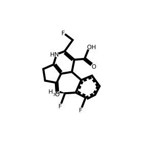 C[C@H](F)c1c(F)cccc1C1C(C(=O)O)=C(CF)NC2=C1C(=O)CC2